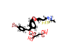 CCC(S)N(C)CC=CCOc1ccc(C(=O)c2ccc(Br)cc2)cc1.O=C(O)C=CC(=O)O